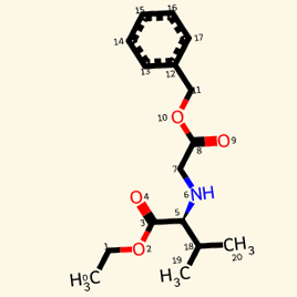 CCOC(=O)[C@@H](NCC(=O)OCc1ccccc1)C(C)C